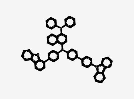 c1ccc(N(c2ccccc2)c2ccc(N(c3ccc(-c4ccc(-n5c6ccccc6c6ccccc65)cc4)cc3)c3ccc(-c4cccc5c4oc4ccccc45)cc3)c3ccccc23)cc1